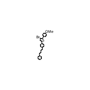 COc1ccc(-c2sc(-c3ccc(C=CC=Cc4ccccc4)cc3)cc2Br)cc1